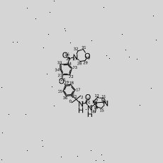 CC(C)(NC(=O)NC1(C)CN2CCC1CC2)c1ccc(Oc2ccc(C(=O)N3CCOCC3)cc2)cc1